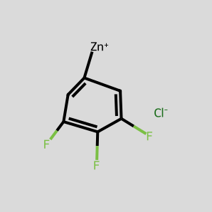 Fc1c[c]([Zn+])cc(F)c1F.[Cl-]